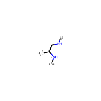 CCNC[C@H](C)NC(C)=O